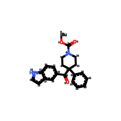 CC(C)(C)OC(=O)N1CCC(C(=O)c2ccc3[nH]ccc3c2)(c2ccccc2)CC1